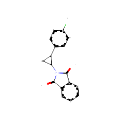 O=C1c2ccccc2C(=O)N1C1CC1c1ccc(Cl)cc1